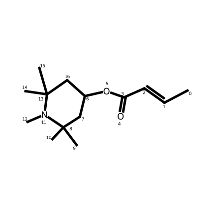 C/C=C/C(=O)OC1CC(C)(C)N(C)C(C)(C)C1